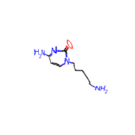 NCCCCn1ccc(N)nc1=O